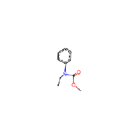 CCN(C(=O)OC)c1ccccc1